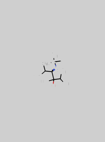 CC(C)/C(=N\[Si](C)(C)C)C(C)(O)C(C)C